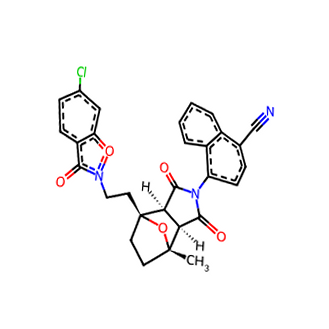 C[C@@]12CC[C@@](CCn3oc4cc(Cl)ccc4c3=O)(O1)[C@H]1C(=O)N(c3ccc(C#N)c4ccccc34)C(=O)[C@H]12